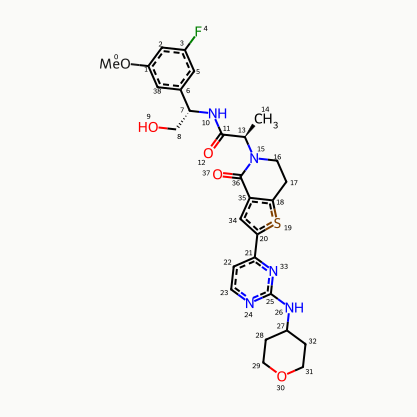 COc1cc(F)cc([C@@H](CO)NC(=O)[C@@H](C)N2CCc3sc(-c4ccnc(NC5CCOCC5)n4)cc3C2=O)c1